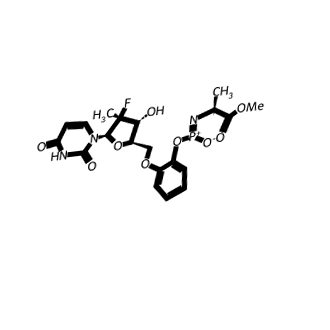 COC(=O)[C@H](C)/N=[P+](\[O-])Oc1ccccc1OC[C@H]1O[C@@H](n2ccc(=O)[nH]c2=O)[C@](C)(F)[C@@H]1O